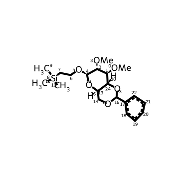 CO[C@@H]1[C@@H](OC)[C@H](OCC[Si](C)(C)C)O[C@@H]2COC(c3ccccc3)O[C@@H]12